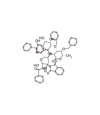 C[C@@H]1O[C@@H](O[C@H]2[C@H](O[C@H]3C[C@@H](O)[C@@H](O)[C@@H](CO)O3)[C@@H](COCc3ccccc3)O[C@](O)(NC(=O)c3ccccc3)[C@@]2(O)N2C(=O)c3ccccc3C2=O)[C@@H](OCc2ccccc2)[C@H](OCc2ccccc2)[C@@H]1OCc1ccccc1